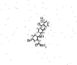 Cc1ccccc1C(=O)c1ccc(Nc2ccc(Br)cc2CC(N)=O)cc1F